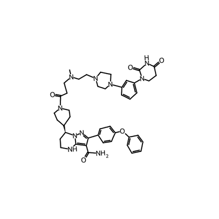 CN(CCC(=O)N1CCC([C@@H]2CCNc3c(C(N)=O)c(-c4ccc(Oc5ccccc5)cc4)nn32)CC1)CCN1CCN(c2cccc(N3CCC(=O)NC3=O)c2)CC1